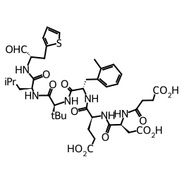 Cc1ccccc1C[C@H](NC(=O)[C@H](CCC(=O)O)NC(=O)[C@H](CC(=O)O)NC(=O)CCC(=O)O)C(=O)N[C@H](C(=O)N[C@@H](CC(C)C)C(=O)N[C@H](C=O)Cc1cccs1)C(C)(C)C